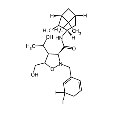 CC(O)C1C(CO)ON(CC2=CC(I)(I)CC=C2)[C@@H]1C(=O)N[C@H]1C[C@H]2C[C@@H](C1C)C2(C)C